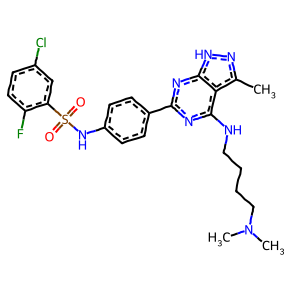 Cc1n[nH]c2nc(-c3ccc(NS(=O)(=O)c4cc(Cl)ccc4F)cc3)nc(NCCCCN(C)C)c12